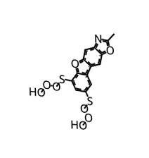 Cc1nc2cc3oc4c(SOOO)cc(SOOO)cc4c3cc2o1